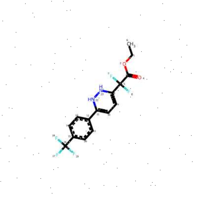 CCOC(=O)C(F)(F)C1=CC=C(c2ccc(C(F)(F)F)cc2)NN1